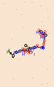 CC1(C)CCC(CN2CCN(c3ccc(C(=O)NS(=O)(=O)c4ccc(N[C@H](CCN5CCN(C(=O)CCCn6cc(COCCOCCNc7cccc8c7C(=O)N(C7CCC(=O)NC7=O)C8=O)nn6)CC5)CSc5ccccc5)c(S(=O)(=O)C(F)(F)F)c4)cc3)CC2)=C(C23CC(C(F)F)(C2)C3)C1